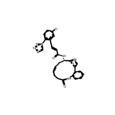 O=C(C=Cc1cc(Cl)ccc1-n1cnnn1)N[C@H]1CC=CCCC(=O)Nc2ccccc2-c2c[nH]c1n2